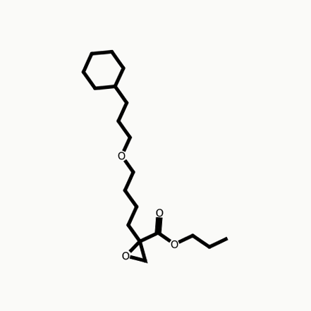 CCCOC(=O)C1(CCCCOCCCC2CCCCC2)CO1